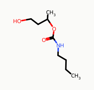 CCCCNC(=O)OC(C)CCO